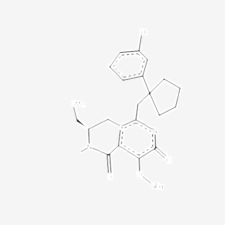 CCCCOc1c2n(c(CC3(c4cccc(CC)c4)CCCC3)nc1=O)C[C@H](CSC)N(C)C2=O